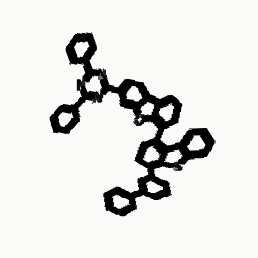 c1ccc(-c2cccc(-c3ccc(-c4cccc5c4oc4cc(-c6nc(-c7ccccc7)nc(-c7ccccc7)n6)ccc45)c4c3sc3ccccc34)c2)cc1